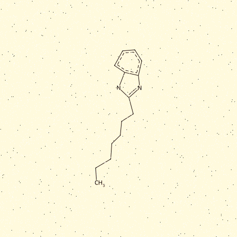 CCCCCCCC1=Nc2ccccc2[N]1